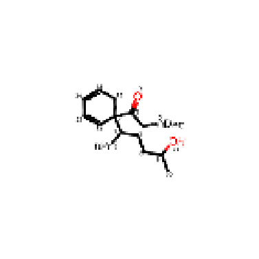 CCCCCCCCCCCC(=O)C1(C(CCC)CCC(C)O)C=CC=CC1